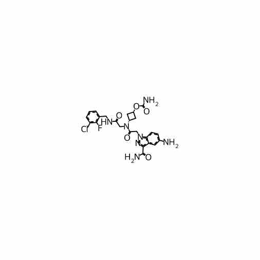 NC(=O)O[C@H]1C[C@H](N(CC(=O)NCc2cccc(Cl)c2F)C(=O)Cn2nc(C(N)=O)c3cc(N)ccc32)C1